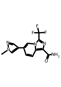 Cn1cc(-c2ccc3c(C(N)=O)nc(C(F)(F)F)n3c2)cn1